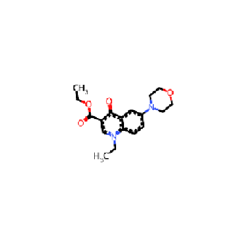 CCOC(=O)c1cn(CC)c2ccc(N3CCOCC3)cc2c1=O